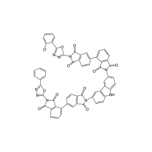 O=C1c2ccc(-c3cccc4c3C(=O)N(c3nnc(-c5ccccc5)o3)C4=O)cc2C(=O)N1c1ccc2[nH]c3ccc(N4C(=O)c5cccc(-c6ccc7c(c6)C(=O)N(c6nnc(-c8ccccc8Cl)o6)C7=O)c5C4=O)cc3c2c1